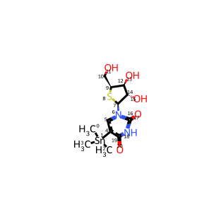 [CH3][Sn]([CH3])([CH3])[c]1cn([C@H]2S[C@@H](CO)[C@@H](O)[C@@H]2O)c(=O)[nH]c1=O